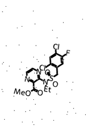 CCN(c1nccnc1C(=O)OC)S(=O)(=O)Cc1cc(F)c(Cl)cc1Cl